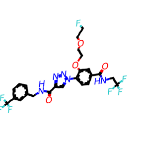 O=C(NCC(F)(F)F)c1ccc(-n2cc(C(=O)NCc3cccc(C(F)(F)F)c3)nn2)c(OCCOCCF)c1